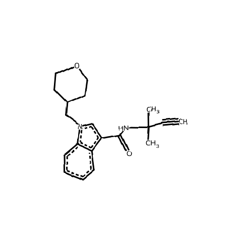 C#CC(C)(C)NC(=O)c1cn(CC2CCOCC2)c2ccccc12